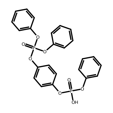 O=P(O)(Oc1ccccc1)Oc1ccc(OP(=O)(Oc2ccccc2)Oc2ccccc2)cc1